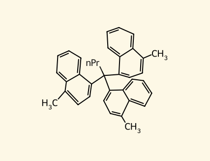 [CH2]CCC(c1ccc(C)c2ccccc12)(c1ccc(C)c2ccccc12)c1ccc(C)c2ccccc12